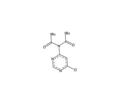 CC(C)(C)C(=O)N(C(=O)C(C)(C)C)c1cc(Cl)ncn1